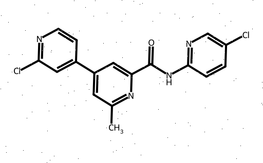 Cc1cc(-c2ccnc(Cl)c2)cc(C(=O)Nc2ccc(Cl)cn2)n1